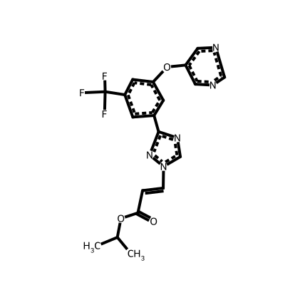 CC(C)OC(=O)C=Cn1cnc(-c2cc(Oc3cncnc3)cc(C(F)(F)F)c2)n1